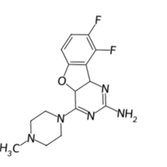 CN1CCN(C2=NC(N)=NC3c4c(ccc(F)c4F)OC23)CC1